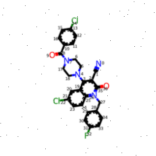 N#Cc1c(N2CCN(C(=O)c3ccc(Cl)cc3)CC2)c2cc(Cl)ccc2n(Cc2ccc(F)cc2)c1=O